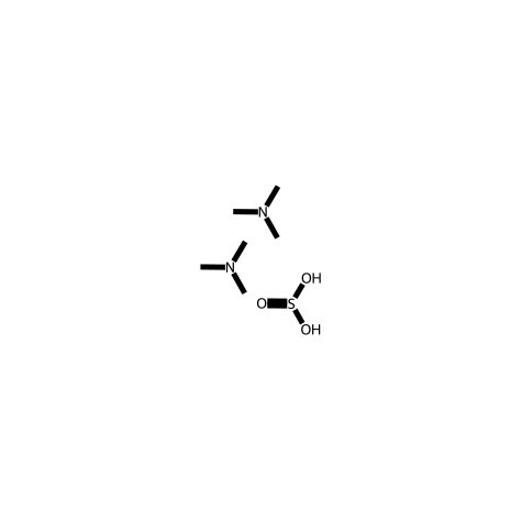 CN(C)C.CN(C)C.O=S(O)O